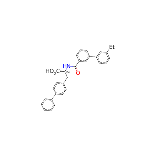 CCc1cccc(-c2cccc(C(=O)N[C@@H](Cc3ccc(-c4ccccc4)cc3)C(=O)O)c2)c1